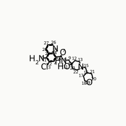 Nc1c(Cl)cc(C(=O)NCC2(O)CCN(CC3CCOCC3)CC2)c2ncccc12